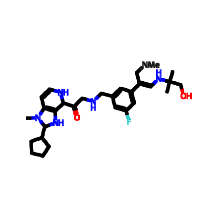 CNC/C(=C\NC(C)(C)CO)c1cc(F)cc(CNCC(=O)C2NC=CC3=C2NC(C2CCCC2)N3C)c1